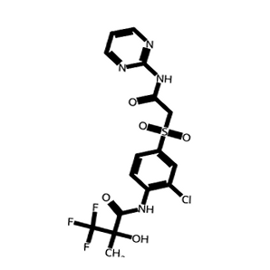 CC(O)(C(=O)Nc1ccc(S(=O)(=O)CC(=O)Nc2ncccn2)cc1Cl)C(F)(F)F